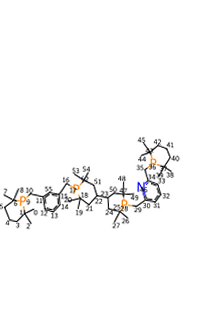 CC1(C)CCCC(C)(C)P1Cc1cccc(CP2C(C)(C)CC(C3CC(C)(C)P(Cc4cccc(CP5C(C)(C)CCCC5(C)C)n4)C(C)(C)C3)CC2(C)C)c1